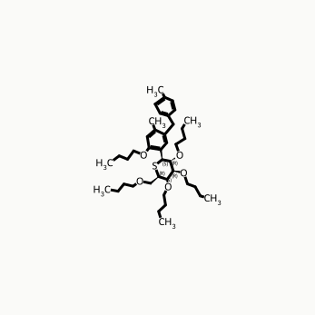 CCCCOC[C@H]1S[C@@H](c2cc(Cc3ccc(C)cc3)c(C)cc2OCCCC)[C@H](OCCCC)[C@@H](OCCCC)[C@@H]1OCCCC